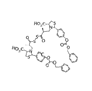 C[C@@H](CN1C(C(=O)O)CSC1c1ccc(OC(=O)OCc2ccccc2)cc1)C(=O)SSC(=O)[C@@H](C)CN1C(C(=O)O)CSC1c1ccc(OC(=O)OCc2ccccc2)cc1